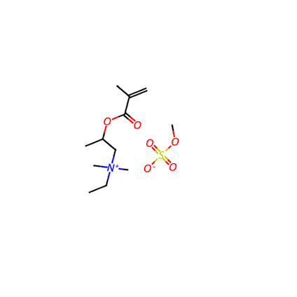 C=C(C)C(=O)OC(C)C[N+](C)(C)CC.COS(=O)(=O)[O-]